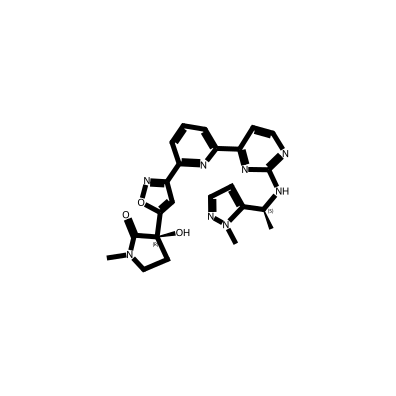 C[C@H](Nc1nccc(-c2cccc(-c3cc([C@]4(O)CCN(C)C4=O)on3)n2)n1)c1ccnn1C